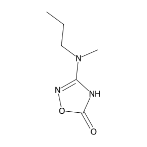 CCCN(C)c1noc(=O)[nH]1